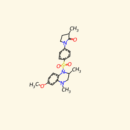 COc1ccc2c(c1)N(C)CC(C)N2S(=O)(=O)c1ccc(N2CCC(C)C2=O)cc1